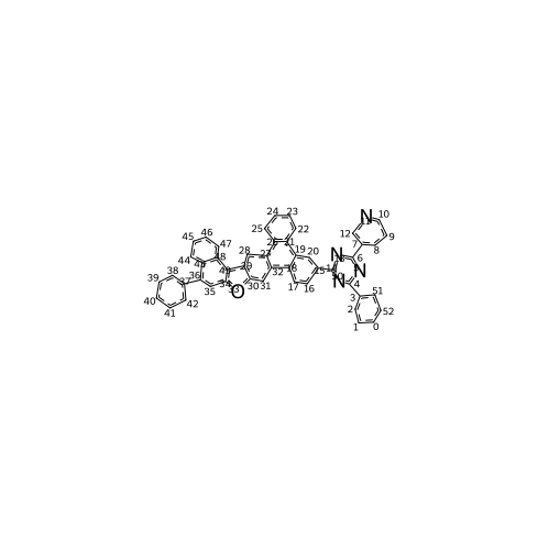 c1ccc(-c2nc(-c3cccnc3)nc(-c3ccc4c(c3)c3ccccc3c3cc5c(cc43)oc3cc(-c4ccccc4)c4ccccc4c35)n2)cc1